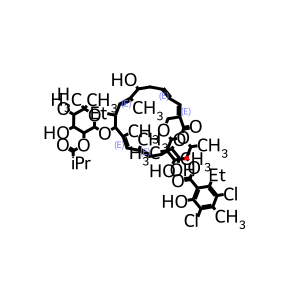 CCc1c(Cl)c(C)c(Cl)c(O)c1C(=O)OC1C(C)OC(OC/C2=C\C=C\CC(O)/C(C)=C/C(CC)C(OC3OC(C)(C)C(O)C(O)C3OC(=O)C(C)C)/C(C)=C/C(C)=C/CC(C(C)O)OC2=O)C(C)C1O